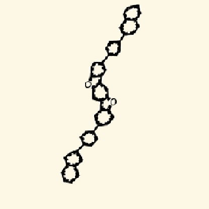 c1ccc2cc(-c3ccc(-c4ccc5oc6cc7c(cc6c5c4)oc4ccc(-c5ccc(-c6ccc8ccccc8c6)cc5)cc47)cc3)ccc2c1